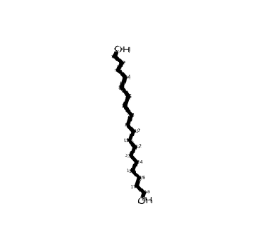 OCC[CH]CCCCCCCCCCCCCCCO